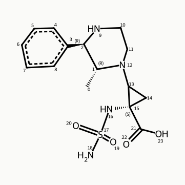 C[C@@H]1[C@@H](c2ccccc2)NCCN1C1C[C@@]1(NS(N)(=O)=O)C(=O)O